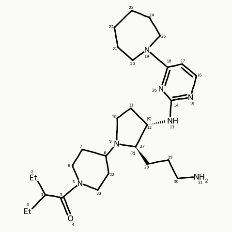 CCC(CC)C(=O)N1CCC(N2CC[C@H](Nc3nccc(N4CCCCCC4)n3)[C@H]2CCCN)CC1